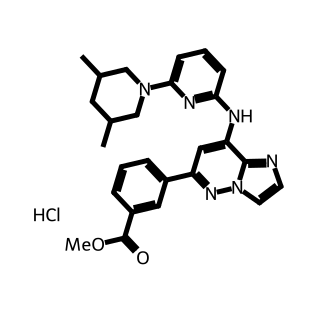 COC(=O)c1cccc(-c2cc(Nc3cccc(N4CC(C)CC(C)C4)n3)c3nccn3n2)c1.Cl